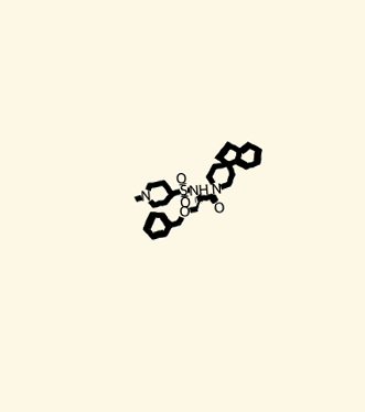 CN1CCC(S(=O)(=O)N[C@H](COCc2ccccc2)C(=O)N2CCC3(C=Cc4ccccc43)CC2)CC1